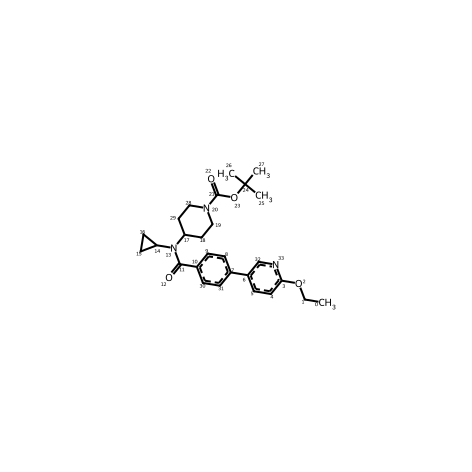 CCOc1ccc(-c2ccc(C(=O)N(C3CC3)C3CCN(C(=O)OC(C)(C)C)CC3)cc2)cn1